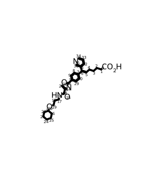 O=C(O)CCCCC=C(c1ccc(-c2nc(C(=O)NCCCOC3CCCCC3)co2)cc1)c1cccnc1